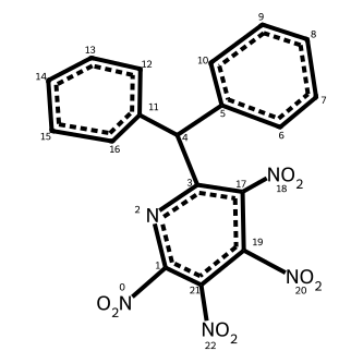 O=[N+]([O-])c1nc(C(c2ccccc2)c2ccccc2)c([N+](=O)[O-])c([N+](=O)[O-])c1[N+](=O)[O-]